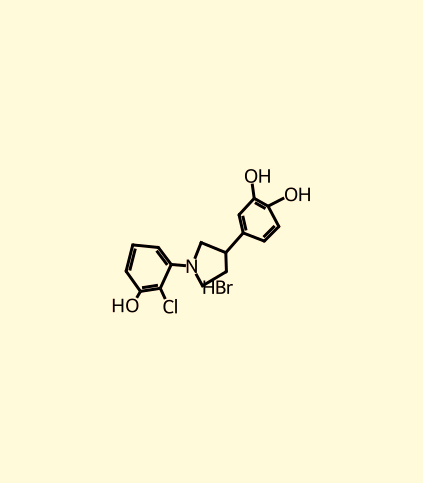 Br.Oc1ccc(C2CCN(c3cccc(O)c3Cl)C2)cc1O